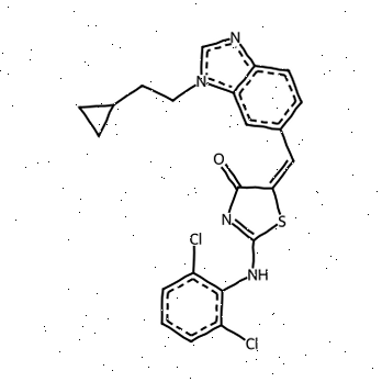 O=C1N=C(Nc2c(Cl)cccc2Cl)SC1=Cc1ccc2ncn(CCC3CC3)c2c1